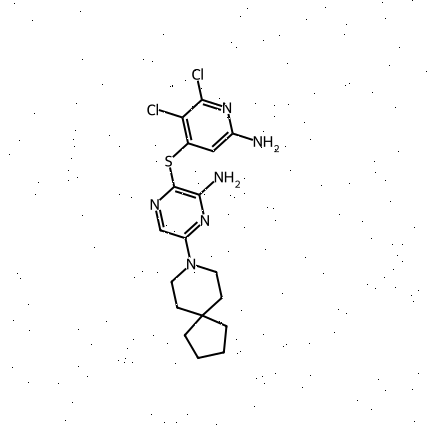 Nc1cc(Sc2ncc(N3CCC4(CCCC4)CC3)nc2N)c(Cl)c(Cl)n1